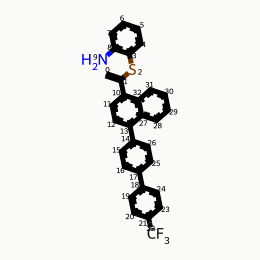 C=C(Sc1ccccc1N)c1ccc(-c2ccc(-c3ccc(C(F)(F)F)cc3)cc2)c2ccccc12